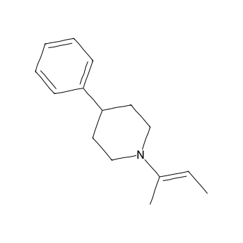 CC=C(C)N1CCC(c2ccccc2)CC1